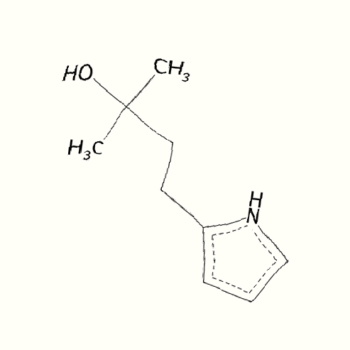 CC(C)(O)CCc1ccc[nH]1